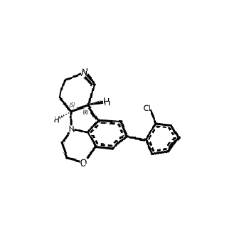 Clc1ccccc1-c1cc2c3c(c1)[C@H]1C=NCC[C@@H]1N3CCO2